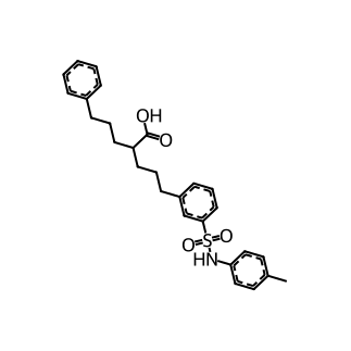 Cc1ccc(NS(=O)(=O)c2cccc(CCCC(CCCc3ccccc3)C(=O)O)c2)cc1